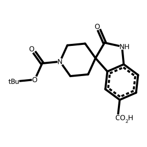 CC(C)(C)OC(=O)N1CCC2(CC1)C(=O)Nc1ccc(C(=O)O)cc12